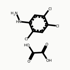 NNc1cc(Cl)c(Cl)cc1Cl.O=C(O)C(=O)O